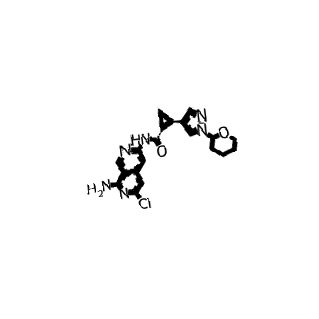 Nc1nc(Cl)cc2cc(NC(=O)[C@@H]3C[C@H]3c3cnn(C4CCCCO4)c3)ncc12